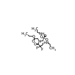 CCNOP(=O)(CN(CC(=O)OCC)C(=O)C(F)(F)F)ONCC